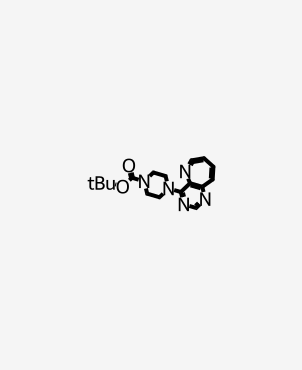 CC(C)(C)OC(=O)N1CCN(c2ncnc3c2N=C=CC=C3)CC1